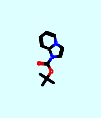 CC(C)(C)OC(=O)N1C=CN2C=CC=CB21